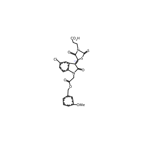 COc1cccc(COC(=O)CN2C(=O)/C(=C3\SC(=S)N(CCC(=O)O)C3=O)c3cc(Cl)ccc32)c1